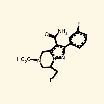 NC(=O)c1c(-c2cccc(F)c2)nn2c1CN(C(=O)O)CC2CF